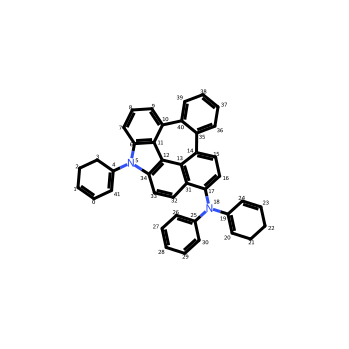 C1=CCCC(n2c3cccc4c3c3c5c(ccc(N(C6=CCCC=C6)c6ccccc6)c5ccc32)-c2ccccc2-4)=C1